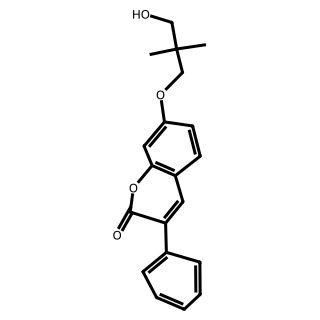 CC(C)(CO)COc1ccc2cc(-c3ccccc3)c(=O)oc2c1